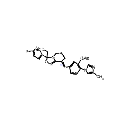 COCC1(c2ccc(F)cc2)ON=C2/C(=C/c3ccc(-n4cnc(C)c4)c(OC)c3)CCCN21